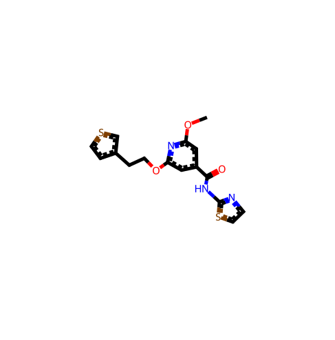 COc1cc(C(=O)Nc2nccs2)cc(OCCc2ccsc2)n1